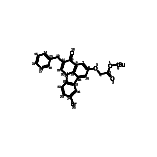 CC(C)(C)OC(=O)COc1cc2c(=O)c(Cc3cccnc3)cn3c4ccc(Br)cc4c(c1)c23